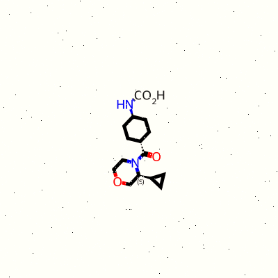 O=C(O)N[C@H]1CC[C@H](C(=O)N2CCOC[C@@H]2C2CC2)CC1